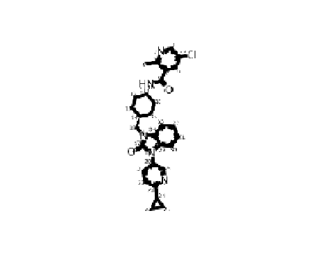 Cc1ncc(Cl)cc1C(=O)N[C@H]1CC[C@H](Cn2c(=O)n(-c3ccc(C4CC4)nc3)c3ccccc32)CC1